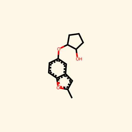 Cc1cc2cc(OC3CCCC3O)ccc2o1